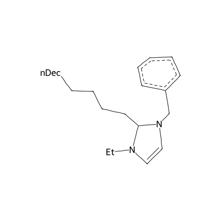 CCCCCCCCCCCCCCC1N(CC)C=CN1Cc1ccccc1